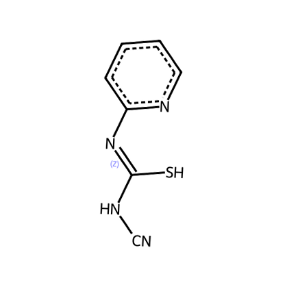 N#CN/C(S)=N/c1ccccn1